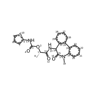 C[C@H](OC(=O)Nc1cccs1)C(=O)NC1C(=O)N(C)c2ccccc2-c2ccccc21